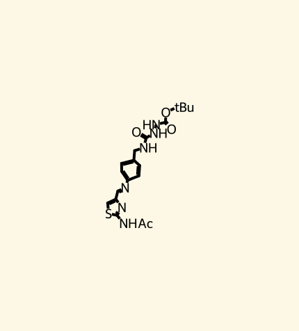 CC(=O)Nc1nc(/C=N/c2ccc(CNC(=O)NNC(=O)OC(C)(C)C)cc2)cs1